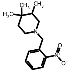 CC1CN(Cc2ccccc2[N+](=O)[O-])CCC1(C)C